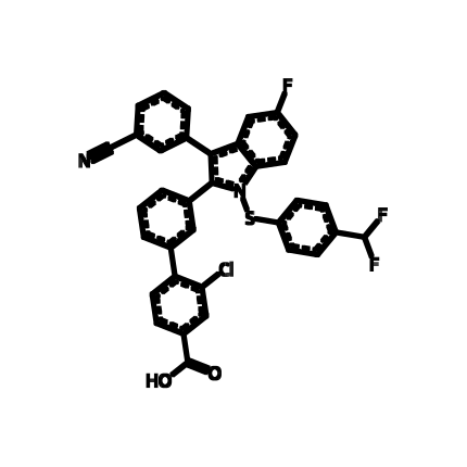 N#Cc1cccc(-c2c(-c3cccc(-c4ccc(C(=O)O)cc4Cl)c3)n(Sc3ccc(C(F)F)cc3)c3ccc(F)cc23)c1